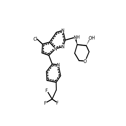 O[C@@H]1COCC[C@H]1Nc1ncc2c(Cl)cc(-c3ccc(CC(F)(F)F)cn3)n2n1